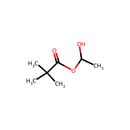 C[C](O)OC(=O)C(C)(C)C